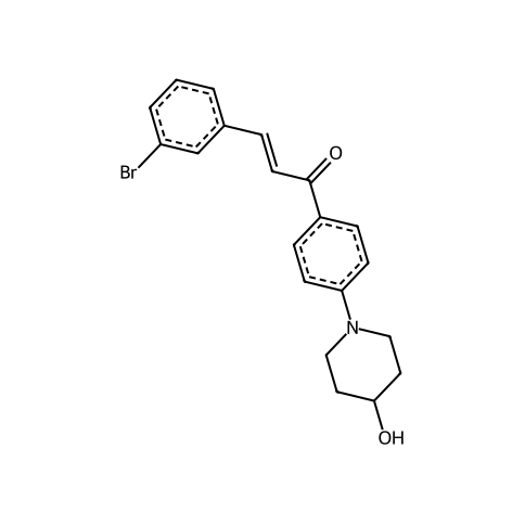 O=C(C=Cc1cccc(Br)c1)c1ccc(N2CCC(O)CC2)cc1